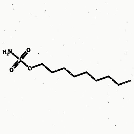 CCCCCCCCCOS(N)(=O)=O